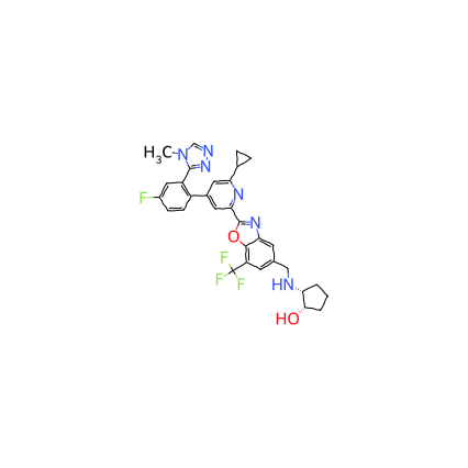 Cn1cnnc1-c1cc(F)ccc1-c1cc(-c2nc3cc(CN[C@@H]4CCC[C@@H]4O)cc(C(F)(F)F)c3o2)nc(C2CC2)c1